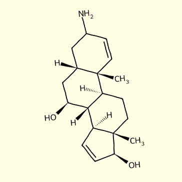 C[C@]12C=CC(N)C[C@H]1C[C@H](O)[C@@H]1[C@@H]2CC[C@]2(C)[C@@H](O)C=C[C@@H]12